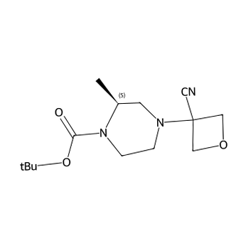 C[C@H]1CN(C2(C#N)COC2)CCN1C(=O)OC(C)(C)C